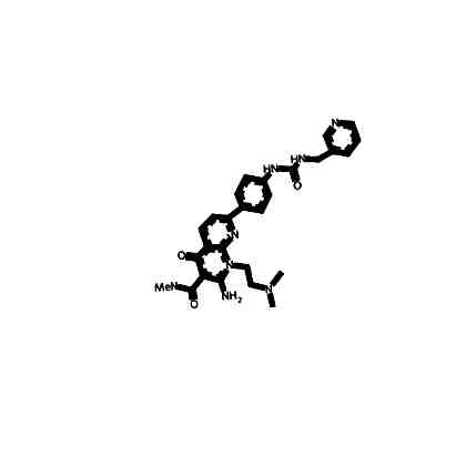 CNC(=O)c1c(N)n(CCN(C)C)c2nc(-c3ccc(NC(=O)NCc4cccnc4)cc3)ccc2c1=O